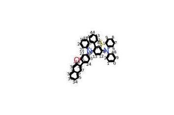 c1ccc(N(c2ccccc2)c2ccc(N(c3ccccc3)c3ccc4c(c3)oc3cc5ccccc5cc34)c3c2sc2ccccc23)cc1